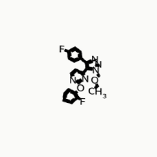 CCOCn1nnc(-c2ccc(F)cc2)c1-c1ccnc(Oc2ccccc2F)n1